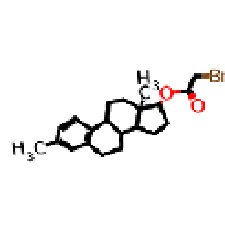 Cc1ccc2c(c1)CCC1C2CC[C@@]2(C)C1CC[C@@H]2OC(=O)CBr